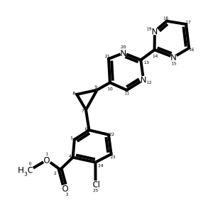 COC(=O)c1cc(C2CC2c2cnc(-c3ncccn3)nc2)ccc1Cl